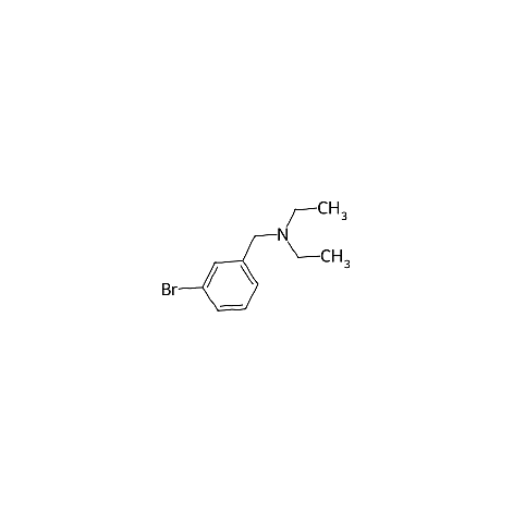 CCN(CC)Cc1cccc(Br)c1